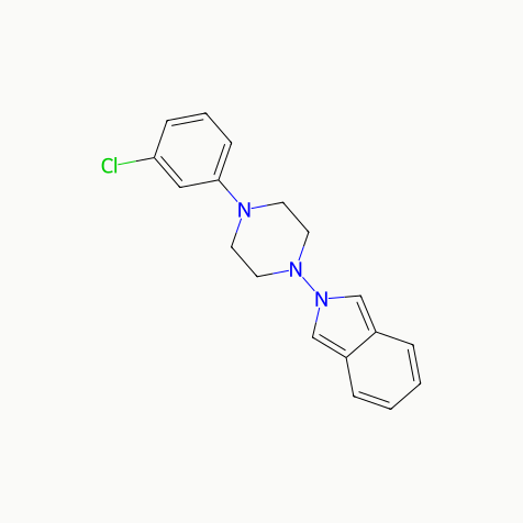 Clc1cccc(N2CCN(n3cc4ccccc4c3)CC2)c1